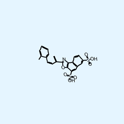 C=C(/C=C\c1ccccc1C)c1nc2c(o1)c(S(=O)(=O)O)cc1cc(S(=O)(=O)O)ccc12